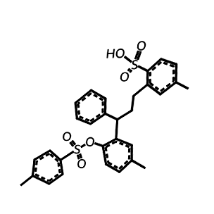 Cc1ccc(S(=O)(=O)Oc2ccc(C)cc2C(CCc2cc(C)ccc2S(=O)(=O)O)c2ccccc2)cc1